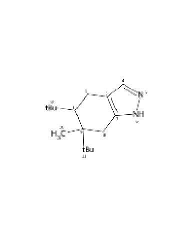 CC(C)(C)C1Cc2cn[nH]c2CC1(C)C(C)(C)C